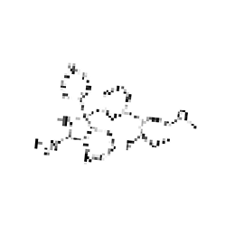 COc1ccc(F)c(-c2cccc(C3(c4ccncc4)NC(N)c4ncccc43)c2)c1